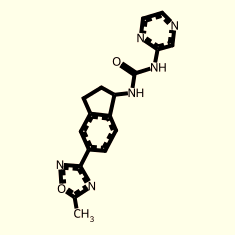 Cc1nc(-c2ccc3c(c2)CCC3NC(=O)Nc2cnccn2)no1